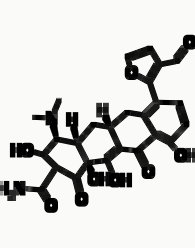 CN(C)[C@@H]1C(O)C(C(N)=O)C(=O)[C@@]2(O)C(O)=C3C(=O)c4c(O)ccc(-c5occc5C=O)c4C[C@H]3C[C@@H]12